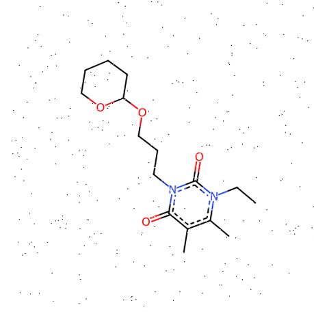 CCn1c(C)c(C)c(=O)n(CCCOC2CCCCO2)c1=O